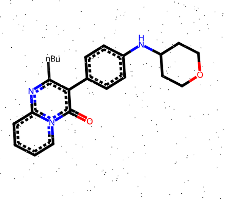 CCCCc1nc2ccccn2c(=O)c1-c1ccc(NC2CCOCC2)cc1